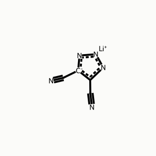 N#Cc1nnn[c-]1C#N.[Li+]